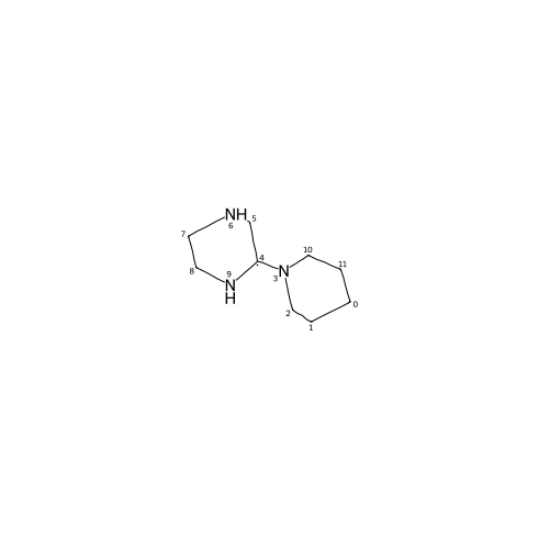 C1CCN([C]2CNCCN2)CC1